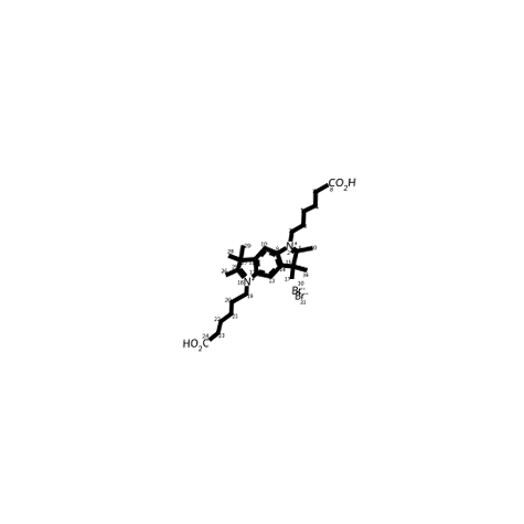 CC1=[N+](CCCCCC(=O)O)c2cc3c(cc2C1(C)C)[N+](CCCCCC(=O)O)=C(C)C3(C)C.[Br-].[Br-]